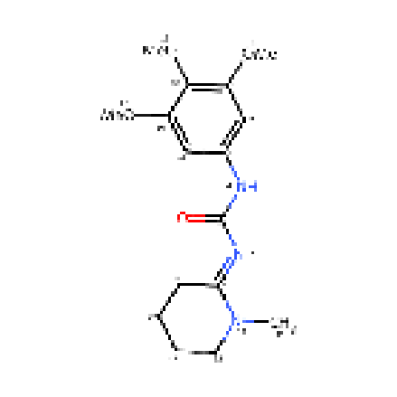 COc1cc(NC(=O)N=C2CCCCN2C)cc(OC)c1OC